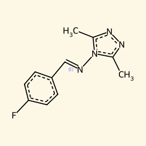 Cc1nnc(C)n1/N=C/c1ccc(F)cc1